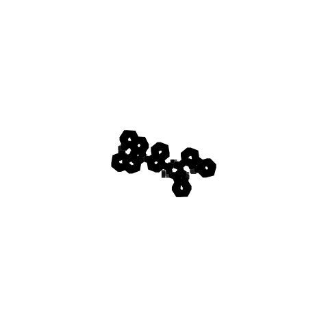 c1ccc2c(c1)oc1c(C3=NC(c4ccc(-n5c6ccc7cccc8sc9cccc%10ccc5c(c%109)c6c78)c5ccccc45)Nc4c3sc3ccccc43)cccc12